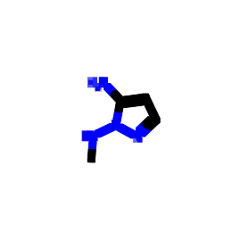 CNn1nccc1N